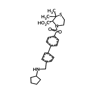 CC1(C)SCCN(S(=O)(=O)c2ccc(-c3ccc(CNC4CCCC4)cc3)cc2)[C@H]1C(=O)O